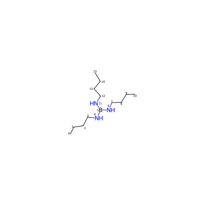 CCCCNB(NCCCC)NCCCC